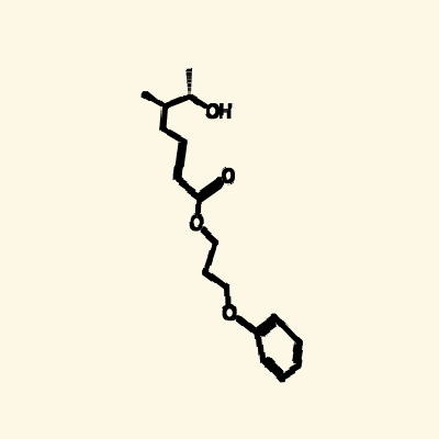 C[C@H](O)[C@H](C)C/C=C/C(=O)OCCCOc1ccccc1